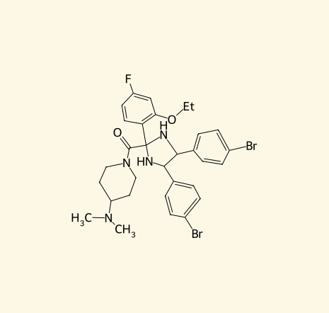 CCOc1cc(F)ccc1C1(C(=O)N2CCC(N(C)C)CC2)NC(c2ccc(Br)cc2)C(c2ccc(Br)cc2)N1